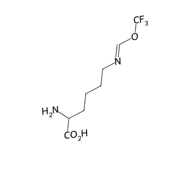 NC(CCCCN=COC(F)(F)F)C(=O)O